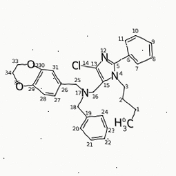 CCCCn1c(-c2ccccc2)nc(Cl)c1CN(Cc1cc[c]cc1)Cc1ccc2c(c1)OCCO2